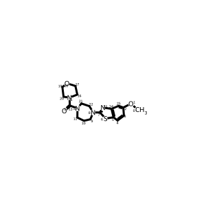 COc1ccc2sc(N3CCCN(C(=O)N4CCOCC4)CC3)nc2c1